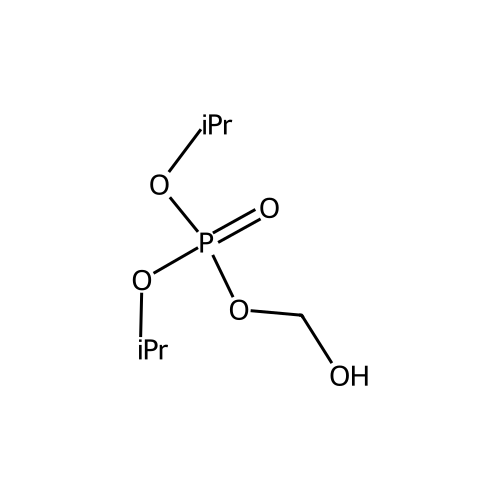 CC(C)OP(=O)(OCO)OC(C)C